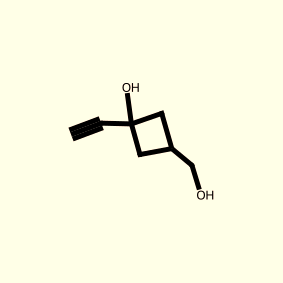 C#CC1(O)CC(CO)C1